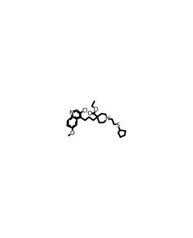 CCOC(=O)C1(CCCc2c(Cl)cnc3ccc(OC)cc23)CCN(CCSC2CCCC2)CC1